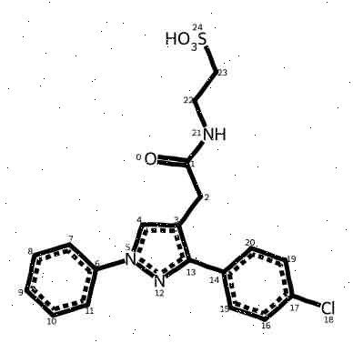 O=C(Cc1cn(-c2ccccc2)nc1-c1ccc(Cl)cc1)NCCS(=O)(=O)O